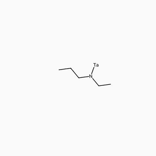 CCC[N]([Ta])CC